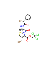 O=C(OCC(Cl)(Cl)Cl)C1=C(CBr)CS[C@H]2[C@H](NC(=O)C(Br)c3ccccc3)C(=O)N12